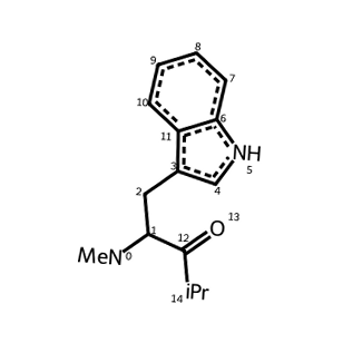 CNC(Cc1c[nH]c2ccccc12)C(=O)C(C)C